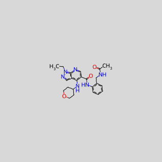 CCn1ncc2c(NC3CCOCC3)c(C(=O)Nc3ccccc3CNC(C)=O)cnc21